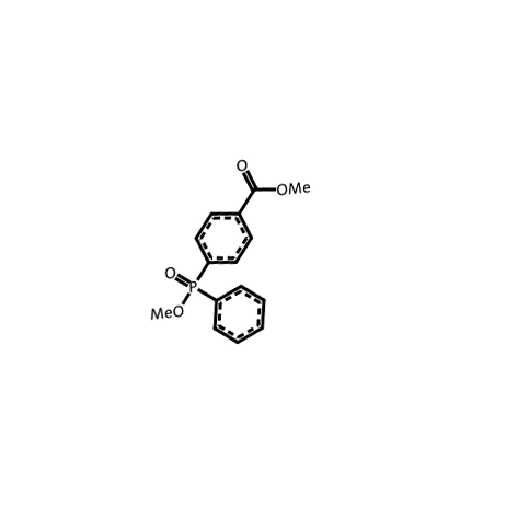 COC(=O)c1ccc(P(=O)(OC)c2ccccc2)cc1